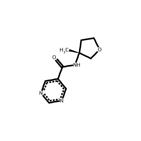 C[C@@]1(NC(=O)c2cncnc2)CCOC1